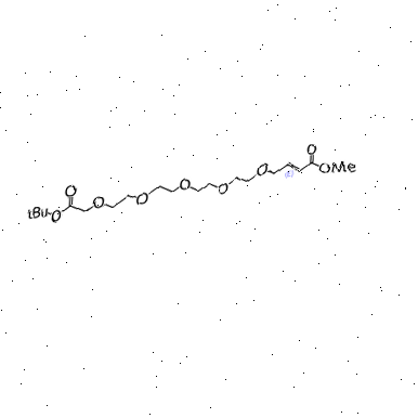 COC(=O)/C=C/COCCOCCOCCOCCOCC(=O)OC(C)(C)C